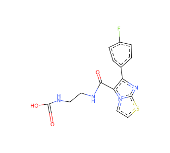 O=C(O)NCCNC(=O)c1c(-c2ccc(F)cc2)nc2sccn12